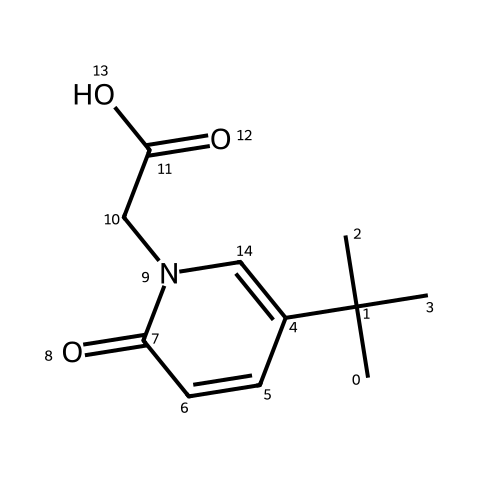 CC(C)(C)c1ccc(=O)n(CC(=O)O)c1